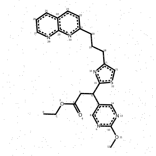 CCOC(=O)CC(c1cnc(OC)nc1)c1nc(CCCc2ccc3cccnc3n2)cs1